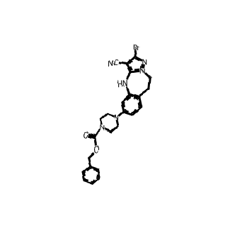 N#Cc1c(Br)nn2c1Nc1cc(N3CCN(C(=O)OCc4ccccc4)CC3)ccc1CC2